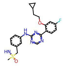 CS(=N)(=O)Cc1cccc(Nc2ncnc(-c3ccc(F)cc3OCCC3CC3)n2)c1